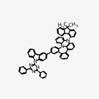 CC1(C)c2ccccc2-c2c(N3c4ccccc4N4c5ccc(-c6ccc7c(c6)c6ccccc6n7-c6nc(-c7ccccc7)nc(-c7ccccc7)n6)cc5-c5ccccc5-c5cccc3c54)cccc21